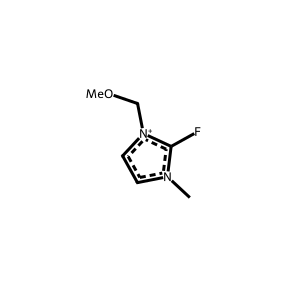 COC[n+]1ccn(C)c1F